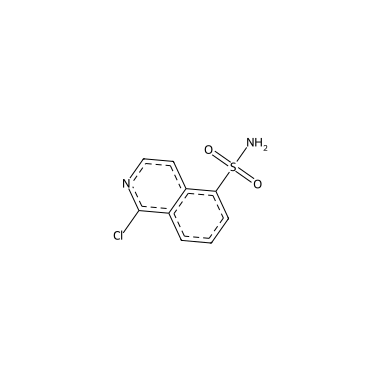 NS(=O)(=O)c1cccc2c(Cl)nccc12